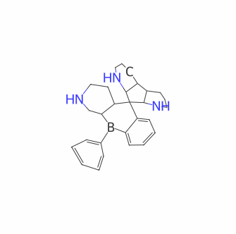 c1ccc(B2c3ccccc3C3(C4CCNCC24)C2NCCCC2C2CCCNC23)cc1